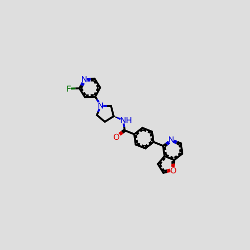 O=C(N[C@H]1CCN(c2ccnc(F)c2)C1)c1ccc(-c2nccc3occc23)cc1